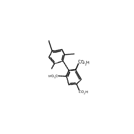 Cc1cc(C)c(-c2c(C(=O)O)cc(C(=O)O)cc2C(=O)O)c(C)c1